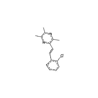 Cc1nc(C)c(C=Cc2ccccc2Cl)nc1C